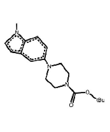 Cn1ccc2cc(N3CCN(C(=O)OC(C)(C)C)CC3)ccc21